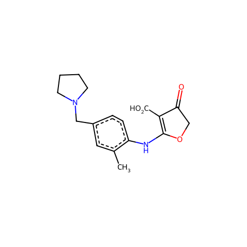 Cc1cc(CN2CCCC2)ccc1NC1=C(C(=O)O)C(=O)CO1